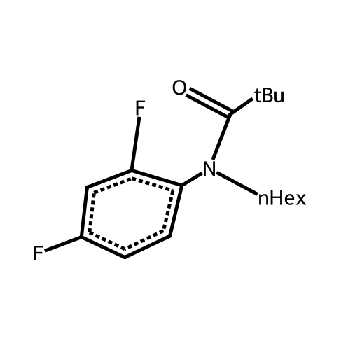 CCCCCCN(C(=O)C(C)(C)C)c1ccc(F)cc1F